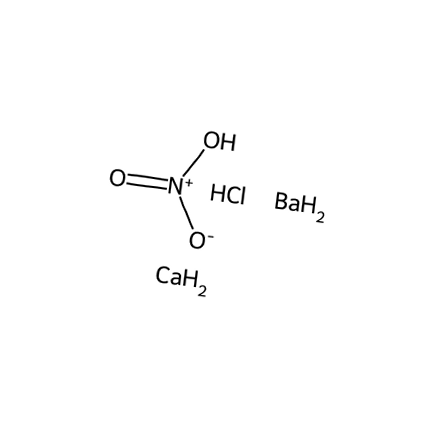 Cl.O=[N+]([O-])O.[BaH2].[CaH2]